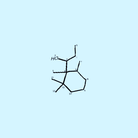 CCC(O)C1(C)C(C)CCCC1(C)C